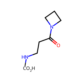 O=C(O)NCCC(=O)N1CCC1